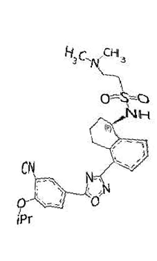 [C-]#[N+]c1cc(-c2nc(-c3cccc4c3CCC[C@H]4NS(=O)(=O)CCN(C)C)no2)ccc1OC(C)C